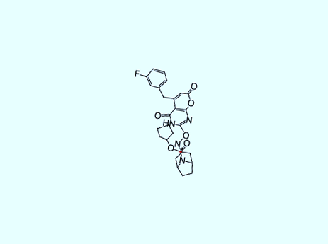 O=C(OC1CCCC1)N1C2CCC1CC(=NOc1nc3oc(=O)cc(Cc4cccc(F)c4)c3c(=O)[nH]1)C2